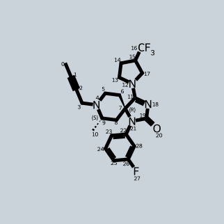 CC#CCN1CC[C@@]2(C[C@@H]1C)C(N1CCC(C(F)(F)F)C1)=NC(=O)N2c1cccc(F)c1